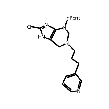 CCCCCN1CN(CCCc2cccnc2)Cc2[nH]c(Cl)nc21